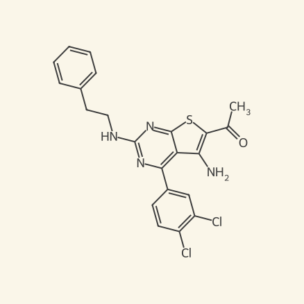 CC(=O)c1sc2nc(NCCc3ccccc3)nc(-c3ccc(Cl)c(Cl)c3)c2c1N